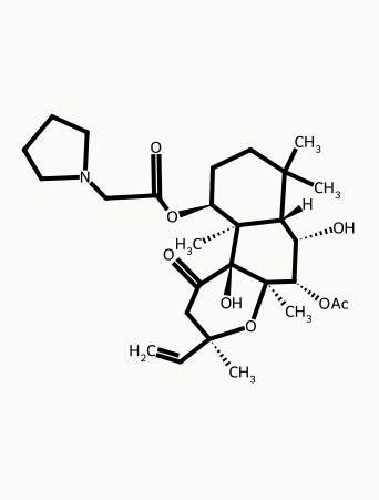 C=C[C@@]1(C)CC(=O)[C@]2(O)[C@@]3(C)[C@@H](OC(=O)CN4CCCC4)CCC(C)(C)[C@@H]3[C@H](O)[C@H](OC(C)=O)[C@@]2(C)O1